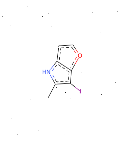 Cc1[nH]c2ccoc2c1I